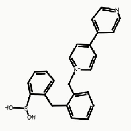 OB(O)c1ccccc1Cc1ccccc1C[n+]1ccc(-c2ccncc2)cc1